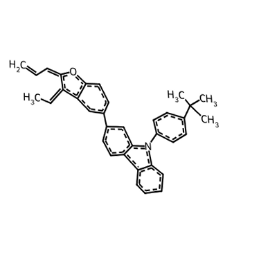 C=C/C=c1/oc2ccc(-c3ccc4c5ccccc5n(-c5ccc(C(C)(C)C)cc5)c4c3)cc2/c1=C/C